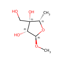 CO[C@@H]1O[C@@H](C)[C@](O)(CO)[C@H]1O